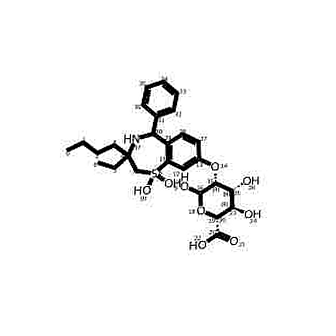 CCCCC1(CC)CS(O)(O)c2cc(O[C@H]3C(O)O[C@@H](C(=O)O)[C@H](O)[C@H]3O)ccc2C(c2ccccc2)N1